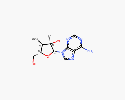 CC(=O)O[C@@H]1[C@@H](CO)O[C@@H](n2cnc3c(N)ncnc32)[C@@]1(O)C(C)=O